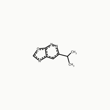 CC(C)c1cc2ncoc2nn1